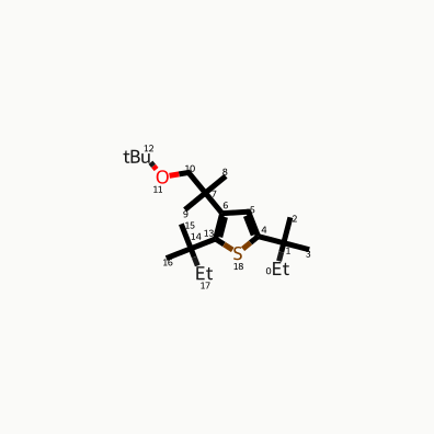 CCC(C)(C)c1cc(C(C)(C)COC(C)(C)C)c(C(C)(C)CC)s1